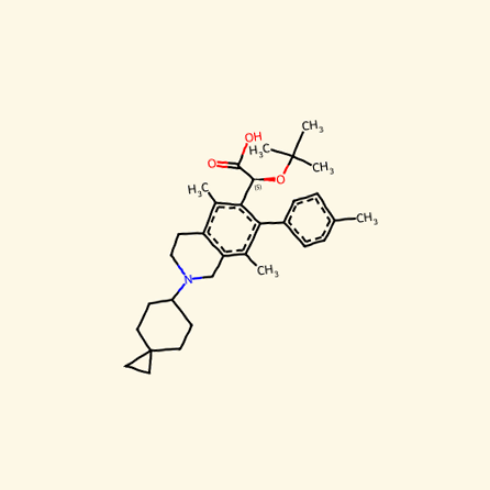 Cc1ccc(-c2c(C)c3c(c(C)c2[C@H](OC(C)(C)C)C(=O)O)CCN(C2CCC4(CC2)CC4)C3)cc1